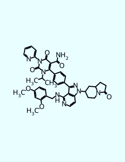 COc1ccc(CNc2nccc3c2c(-c2ccc(-c4c(C(N)=O)c(=O)n(-c5ccccn5)c(=O)n4C(C)C)cc2)nn3C2CCN3C(=O)CCC3C2)c(OC)c1